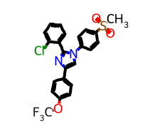 CS(=O)(=O)c1ccc(-n2cc(-c3ccc(OC(F)(F)F)cc3)nc2-c2ccccc2Cl)cc1